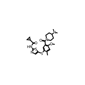 COc1cc(C)c(Sc2cnc(NC(=O)C3CC3)s2)cc1C(=O)N1CCC(N(C)C)CC1